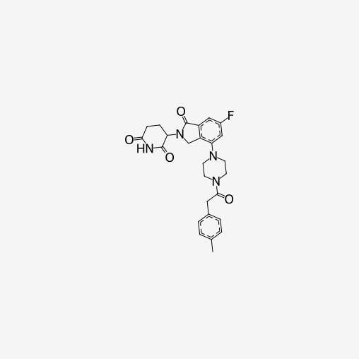 Cc1ccc(CC(=O)N2CCN(c3cc(F)cc4c3CN(C3CCC(=O)NC3=O)C4=O)CC2)cc1